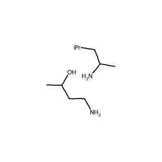 CC(C)CC(C)N.CC(O)CCN